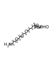 CC(C)(CCCCOCCOCCOCCCN)ONC=O